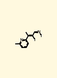 C/C(=C(I)\C=N/I)c1cccc(C)n1